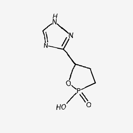 O=P1(O)CCC(c2nc[nH]n2)O1